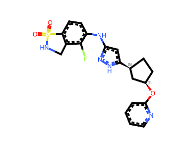 O=S1(=O)NCc2c1ccc(Nc1cc([C@H]3CC[C@@H](Oc4ccccn4)C3)[nH]n1)c2F